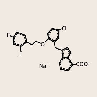 O=C([O-])c1cccc2c1ccn2Cc1cc(Cl)ccc1OCCc1ccc(F)cc1F.[Na+]